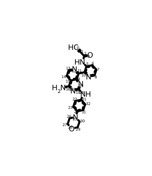 C#CC(=O)Nc1cccnc1-c1nccc2c(N)nc(Nc3ccc(N4CCOCC4)cc3)nc12